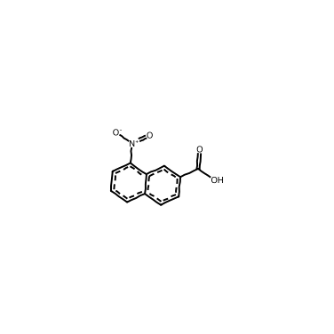 O=C(O)c1ccc2cccc([N+](=O)[O-])c2c1